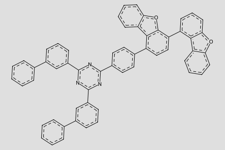 c1ccc(-c2cccc(-c3nc(-c4ccc(-c5ccc(-c6cccc7oc8ccccc8c67)c6oc7ccccc7c56)cc4)nc(-c4cccc(-c5ccccc5)c4)n3)c2)cc1